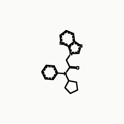 O=C(Cn1cnc2cccnc21)N(c1ccccc1)C1CCCC1